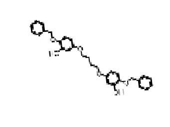 Oc1cc(OCCCCOc2ccc(OCc3ccccc3)c(O)c2)ccc1OCc1ccccc1